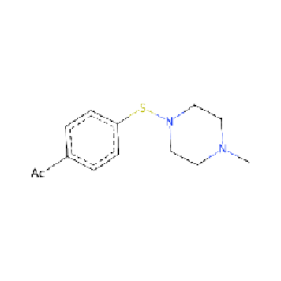 CC(=O)c1ccc(SN2CCN(C)CC2)cc1